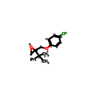 CC(C)C(C)(C)C1(COc2ccc(Cl)cc2)CO1